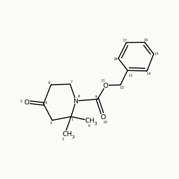 CC1(C)CC(=O)CCN1C(=O)OCc1ccccc1